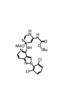 COC1(Nc2nccc3nn(-c4c(Cl)cccc4Cl)cc23)C=C(NC(=O)OC(C)(C)C)NC=N1